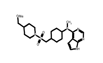 COCC1CCN(S(=O)(=O)CC2CCC(N(C)c3ncnc4[nH]ccc34)CC2)CC1